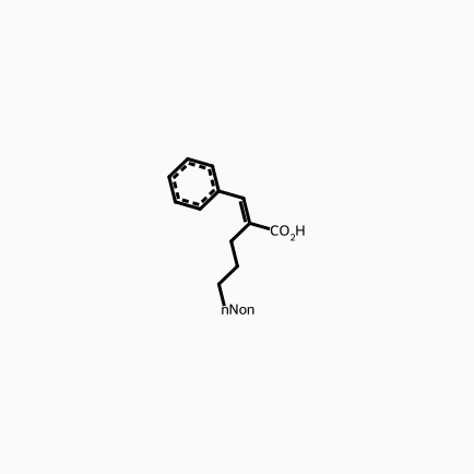 CCCCCCCCCCCCC(=Cc1ccccc1)C(=O)O